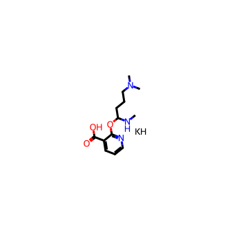 CNC(CCCN(C)C)Oc1ncccc1C(=O)O.[KH]